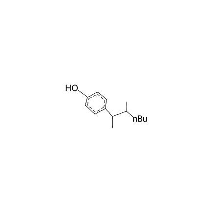 CCCCC(C)C(C)c1ccc(O)cc1